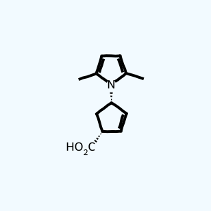 Cc1ccc(C)n1[C@@H]1C=C[C@H](C(=O)O)C1